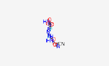 N#Cc1ccc(O[C@H]2CC[C@H](NC(=O)c3cnc(N4CCC(CN5CCN(c6cc7c(cc6F)C(=O)N([C@H]6CCC(=O)NC6=O)C7)CC5)CC4)c(F)c3)CC2)c2cccnc12